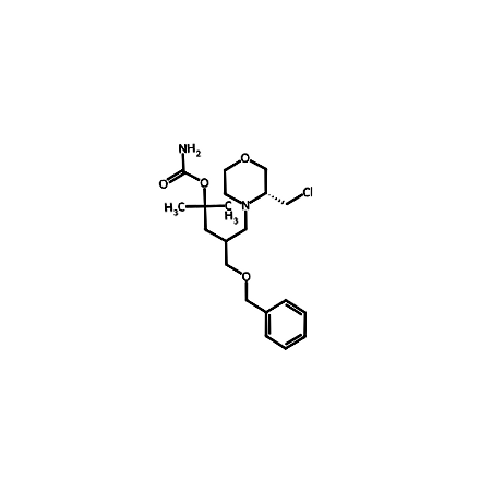 CC(C)(CC(COCc1ccccc1)CN1CCOC[C@@H]1CCl)OC(N)=O